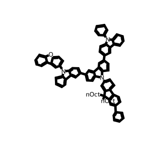 CCCCCCCCC1(CCCCCCCC)c2cc(-c3ccccc3)ccc2-c2ccc(-n3c4ccc(-c5ccc6c(c5)c5ccccc5n6-c5ccccc5)cc4c4cc(-c5ccc6c(c5)c5ccccc5n6-c5ccc6oc7ccccc7c6c5)ccc43)cc21